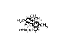 CCCCCCCN1CCc2c(C)nc(N(C)c3c(C)cc(C)cc3C)nc21